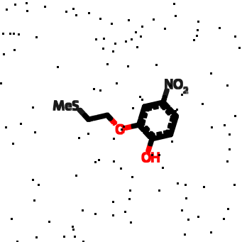 CSCCOc1cc([N+](=O)[O-])ccc1O